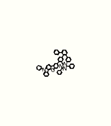 c1ccc(-c2nc(-c3ccccc3)nc(-c3cc(-c4c(-c5ccccc5)cccc4-c4ccccc4)ccc3-c3ccc4oc5c(ccc6c5c5ccccc5n6-c5ccccc5)c4c3)n2)cc1